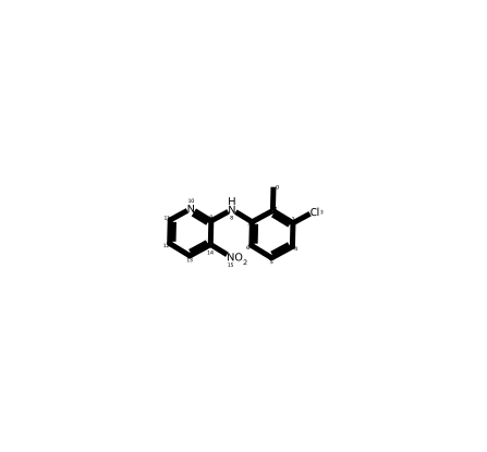 Cc1c(Cl)cccc1Nc1ncccc1[N+](=O)[O-]